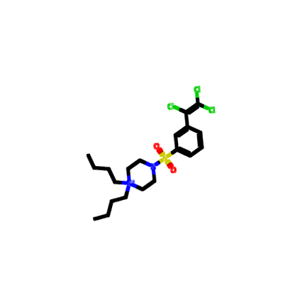 CCCC[N+]1(CCCC)CCN(S(=O)(=O)c2cccc(C(Cl)=C(Cl)Cl)c2)CC1